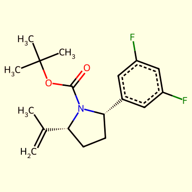 C=C(C)[C@H]1CC[C@@H](c2cc(F)cc(F)c2)N1C(=O)OC(C)(C)C